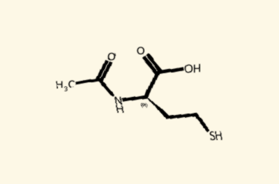 CC(=O)N[C@H](CCS)C(=O)O